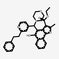 CCOC(=O)c1c(C)oc2c1c(C(c1ccnc(CCc3ccccc3)c1)N1CCOCC1)c(O)c1ccccc12